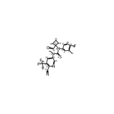 Cc1cc(N(C(=S)N(C)c2cnc(C#N)c(C(F)(F)F)c2)C2(C=O)CCC2)ccc1F